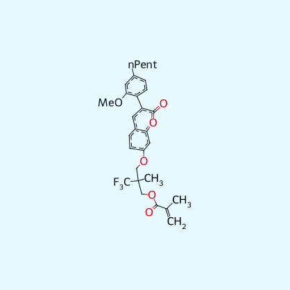 C=C(C)C(=O)OCC(C)(COc1ccc2cc(-c3ccc(CCCCC)cc3OC)c(=O)oc2c1)C(F)(F)F